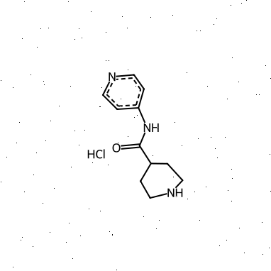 Cl.O=C(Nc1ccncc1)C1CCNCC1